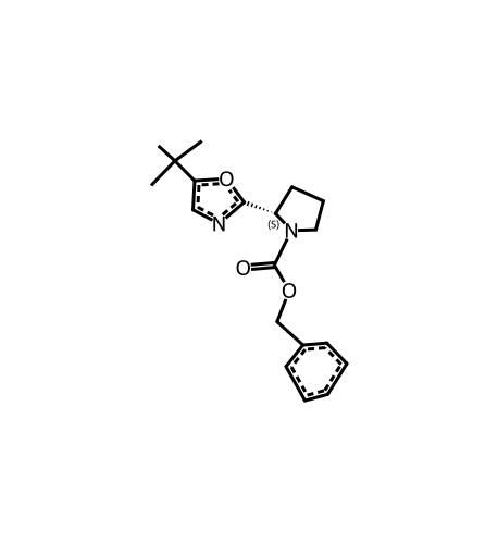 CC(C)(C)c1cnc([C@@H]2CCCN2C(=O)OCc2ccccc2)o1